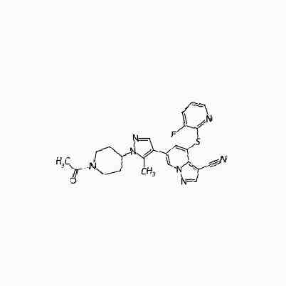 CC(=O)N1CCC(n2ncc(-c3cc(Sc4ncccc4F)c4c(C#N)cnn4c3)c2C)CC1